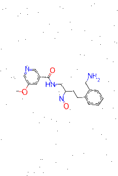 COc1cncc(C(=O)NCC(CCc2ccccc2CN)N=O)c1